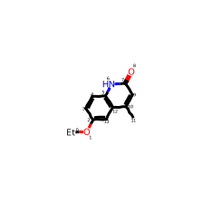 CCOc1ccc2[nH]c(=O)cc(C)c2c1